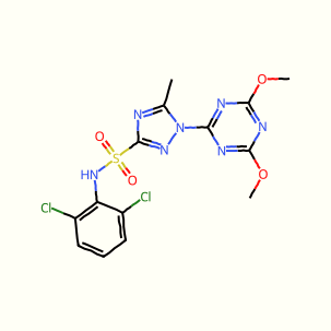 COc1nc(OC)nc(-n2nc(S(=O)(=O)Nc3c(Cl)cccc3Cl)nc2C)n1